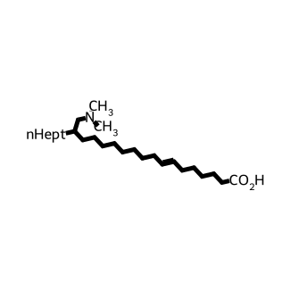 CCCCCCCC(CCCCCCCCC=CCCCCCC(=O)O)CN(C)C